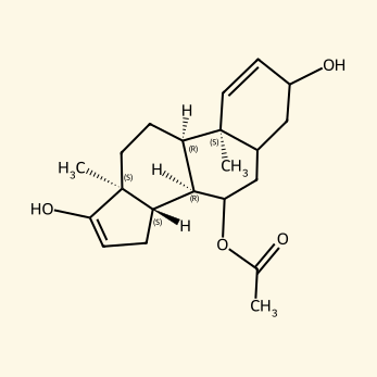 CC(=O)OC1CC2CC(O)C=C[C@]2(C)[C@@H]2CC[C@]3(C)C(O)=CC[C@H]3[C@H]12